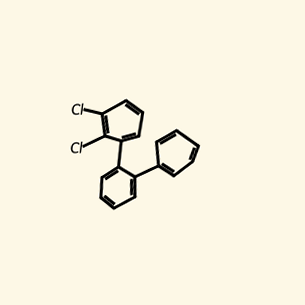 Clc1cccc(-c2ccccc2-c2ccccc2)c1Cl